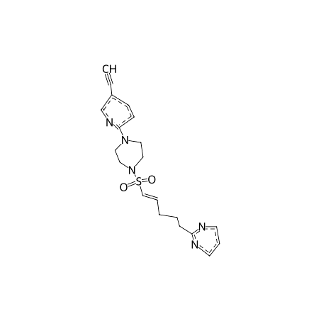 C#Cc1ccc(N2CCN(S(=O)(=O)/C=C/CCCc3ncccn3)CC2)nc1